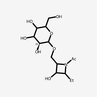 CCC1C(O)C(COC2OC(CO)C(O)C(O)[C@@H]2O)N1C(C)=O